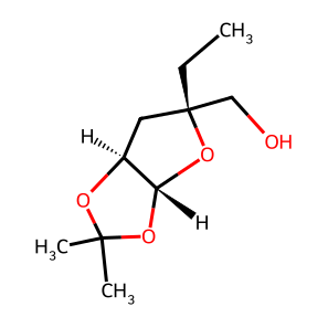 CC[C@]1(CO)C[C@@H]2OC(C)(C)O[C@H]2O1